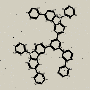 c1ccc(-c2cccc(-c3cc(-c4ccc5c(c4)c4cc(-c6ccccc6)ccc4n5-c4ccccc4)cc(-c4ccc5c(c4)c4cc(-c6ccccc6)ccc4n5-c4ccccc4)c3)c2)cc1